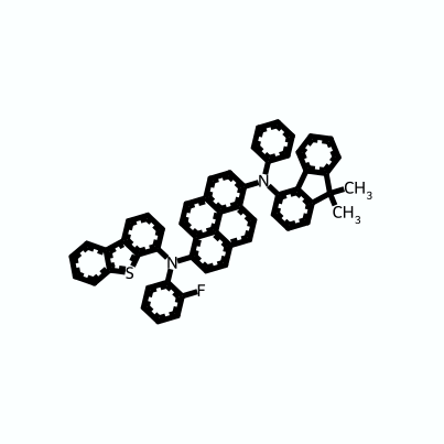 CC1(C)c2ccccc2-c2c(N(c3ccccc3)c3ccc4ccc5c(N(c6ccccc6F)c6cccc7c6sc6ccccc67)ccc6ccc3c4c65)cccc21